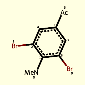 CNc1c(Br)cc(C(C)=O)cc1Br